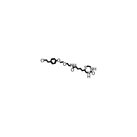 O=C(CCCCC1CNC(=O)NCCS1)NCCOCCOc1ccc(CCCl)cc1